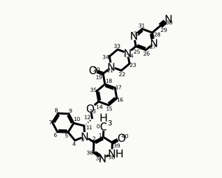 Cc1c(N2Cc3ccccc3[C@@H]2COc2cccc(C(=O)N3CCN(c4cnc(C#N)cn4)CC3)c2)cn[nH]c1=O